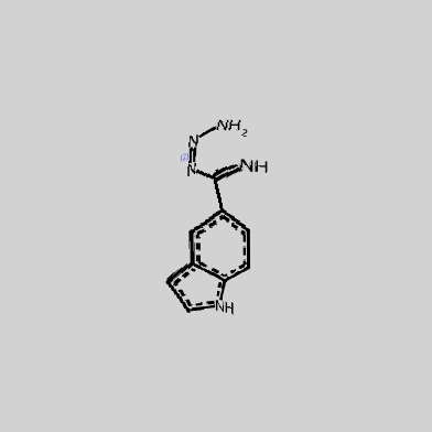 N=C(/N=N\N)c1ccc2[nH]ccc2c1